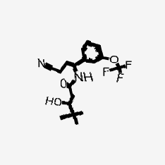 CC(C)(C)C(O)CC(=O)NC(CCC#N)c1cccc(OC(F)(F)F)c1